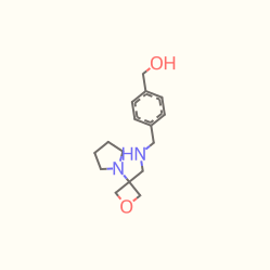 OCc1ccc(CNCC2(N3CCCC3)COC2)cc1